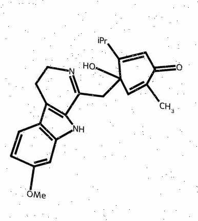 COc1ccc2c3c([nH]c2c1)C(CC1(O)C=C(C)C(=O)C=C1C(C)C)=NCC3